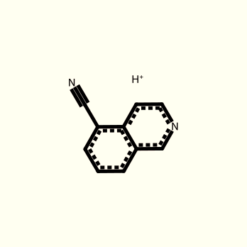 N#Cc1cccc2cnccc12.[H+]